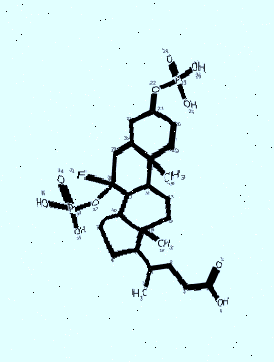 CC(CCC(=O)O)C1CCC2C3C(CCC12C)C1(C)CCC(OP(=O)(O)O)CC1CC3(F)OP(=O)(O)O